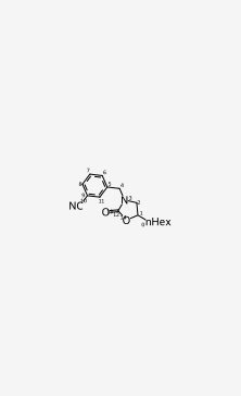 CCCCCCC1CN(Cc2cccc(C#N)c2)C(=O)O1